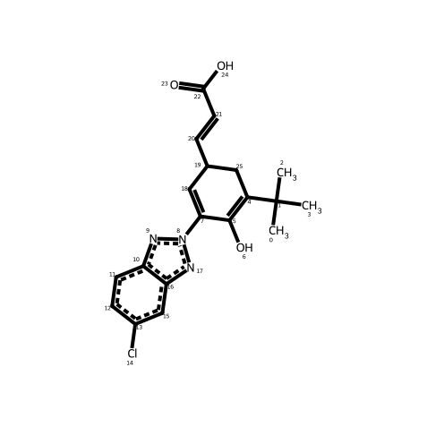 CC(C)(C)C1=C(O)C(n2nc3ccc(Cl)cc3n2)=CC(C=CC(=O)O)C1